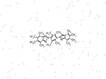 Cc1c(C)c(-n2nc3c(C)c(C)c(C)c(C)c3n2)c(C)c(C)c1-n1nc2c(C)c(C)c(C)c(C)c2n1